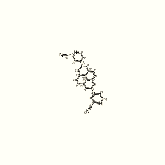 N#Cc1cc(-c2cc3ccc4cc(-c5ccnc(C#N)c5)cc5ccc(c2)c3c45)ccn1